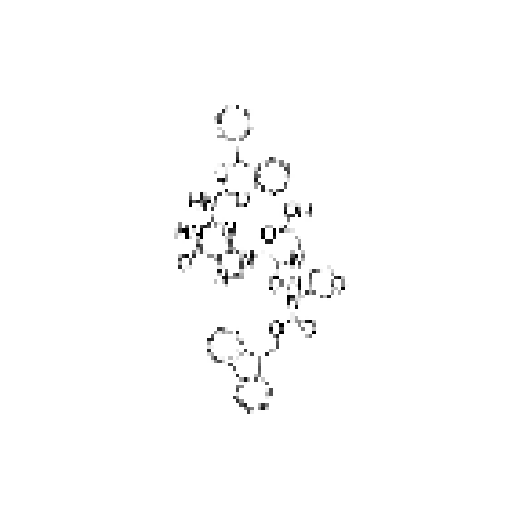 O=C(O)CN(C(=O)Cn1cnc2c(=O)[nH]c(NC(=O)OC(c3ccccc3)c3ccccc3)nc21)[C@@H]1COC[C@H]1NC(=O)OCC1c2ccccc2-c2ccccc21